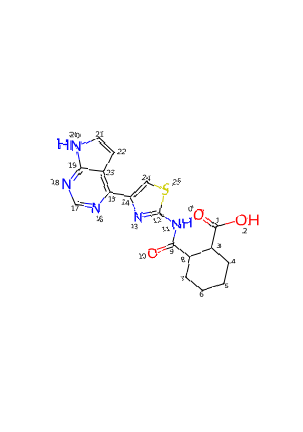 O=C(O)C1CCCCC1C(=O)Nc1nc(-c2ncnc3[nH]ccc23)cs1